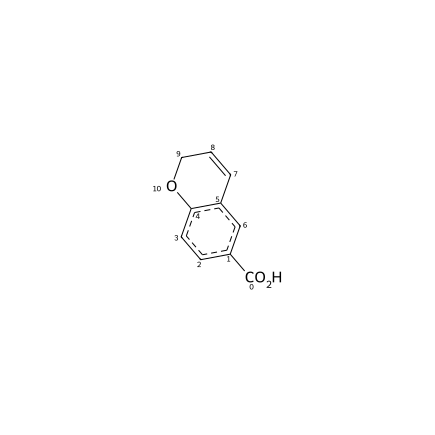 O=C(O)c1ccc2c(c1)C=CCO2